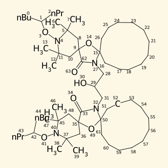 CCCCC(CCC)ON1C(C)(C)CC2(CC1(C)C)OC1(CCCCCCCCCCC1)N(CC(O)CN1C(=O)C3(CC(C)(C)N(OC(CCC)CCCC)C(C)(C)C3)OC13CCCCCCCCCCC3)C2=O